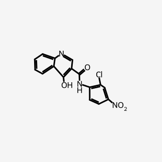 O=C(Nc1ccc([N+](=O)[O-])cc1Cl)c1cnc2ccccc2c1O